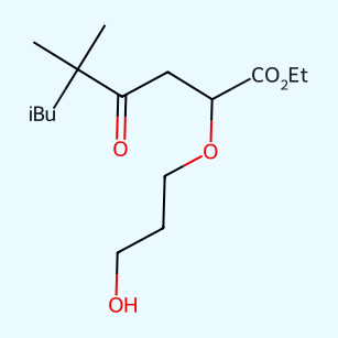 CCOC(=O)C(CC(=O)C(C)(C)C(C)CC)OCCCO